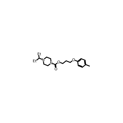 CCC(CC)N1CCN(C(=O)OCCCOc2ccc(C)cc2)CC1